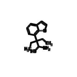 CCC(CC)(c1cccc2ccoc12)C(N)O